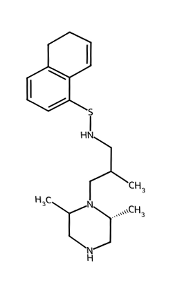 CC(CNSc1cccc2c1C=CCC2)CN1C(C)CNC[C@H]1C